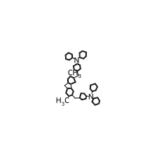 Cc1cc2c(cc1Cc1ccc(N(c3ccccc3)c3ccccc3)cc1)-c1cc(Cc3ccc(N(c4ccccc4)c4ccccc4)cc3)c(C)cc1C2